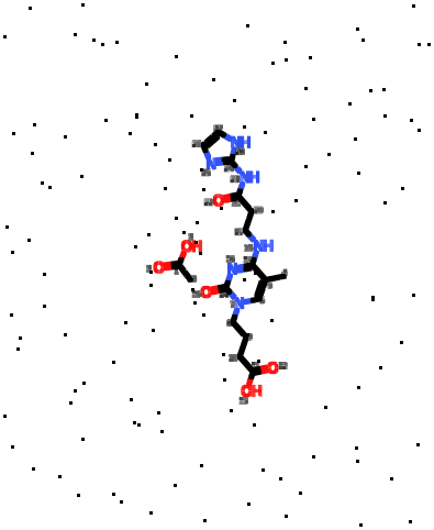 CC(=O)O.Cc1cn(CCCC(=O)O)c(=O)nc1NCCC(=O)Nc1ncc[nH]1